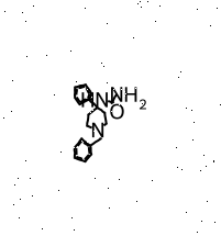 NC(=O)NC1(c2ccccc2)CCN(Cc2ccccc2)CC1